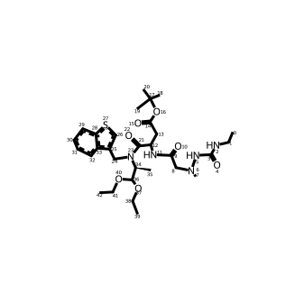 CCNC(=O)NN(C)CC(=O)NC(CC(=O)OC(C)(C)C)C(=O)N(Cc1csc2ccccc12)[C@@H](C)C(OCC)OCC